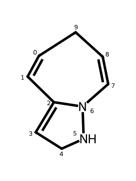 C1=CC2=CCNN2C=CC1